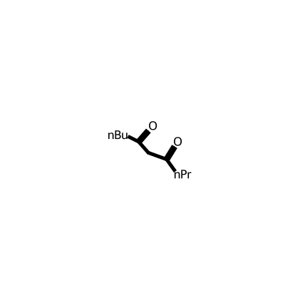 CCCCC(=O)CC(=O)CCC